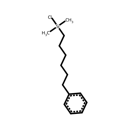 C[Si](C)(Cl)CCCCCCc1ccccc1